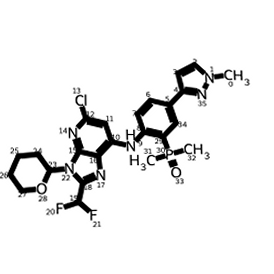 Cn1ccc(-c2ccc(Nc3cc(Cl)nc4c3nc(C(F)F)n4C3CCCCO3)c(P(C)(C)=O)c2)n1